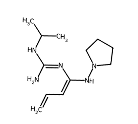 C=C/C=C(\N=C(/N)NC(C)C)NN1CCCC1